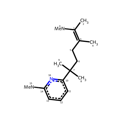 CN/C(C)=C(/C)CCC(C)(C)c1cccc(NC)n1